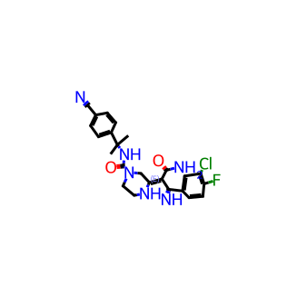 CC(C)(NC(=O)N1CCN/C(=C(\C(=N)c2ccc(F)c(Cl)c2)C(N)=O)C1)c1ccc(C#N)cc1